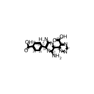 Nc1nc(-c2nncnc2C(=O)O)c(N)nc1-c1ccc(C(=O)O)cc1